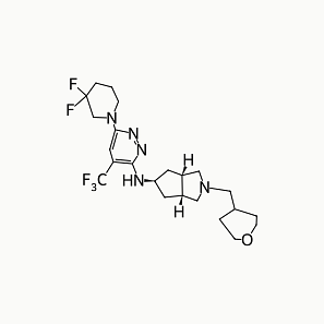 FC1(F)CCCN(c2cc(C(F)(F)F)c(N[C@H]3C[C@@H]4CN(CC5CCOCC5)C[C@@H]4C3)nn2)C1